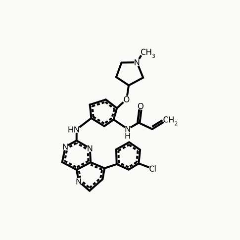 C=CC(=O)Nc1cc(Nc2ncc3nccc(-c4cccc(Cl)c4)c3n2)ccc1OC1CCN(C)C1